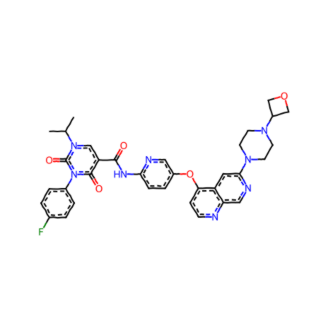 CC(C)n1cc(C(=O)Nc2ccc(Oc3ccnc4cnc(N5CCN(C6COC6)CC5)cc34)cn2)c(=O)n(-c2ccc(F)cc2)c1=O